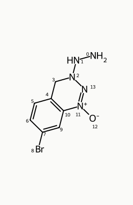 NNN1Cc2ccc(Br)cc2[N+]([O-])=N1